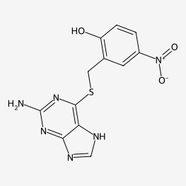 Nc1nc(SCc2cc([N+](=O)[O-])ccc2O)c2[nH]cnc2n1